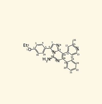 CCOc1ccc(-c2cnc3c(-c4ccnc(C)c4)c(-c4ccccc4)nc(N)n23)cc1